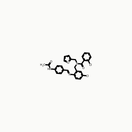 CC(=O)Nc1ccc(/C=N/c2ccc(Cl)cc2CN(Cc2ccco2)C(=O)c2ccccc2Cl)cc1